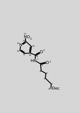 CCCCCCCCCCCCCCC(=O)NC(=O)c1ccnc([N+](=O)[O-])c1